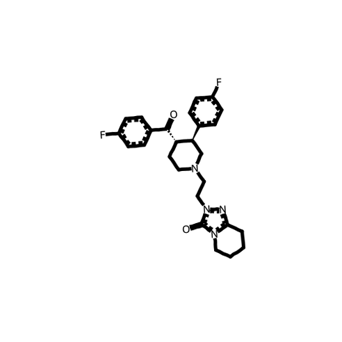 O=C(c1ccc(F)cc1)[C@H]1CCN(CCn2nc3n(c2=O)CCCC3)C[C@@H]1c1ccc(F)cc1